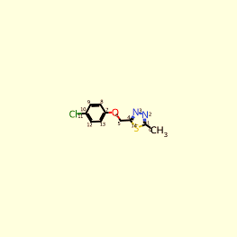 Cc1nnc(COc2ccc(Cl)cc2)s1